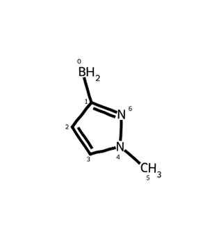 Bc1ccn(C)n1